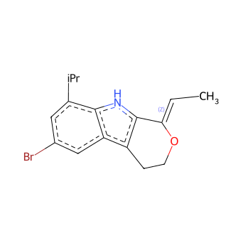 C/C=C1\OCCc2c1[nH]c1c(C(C)C)cc(Br)cc21